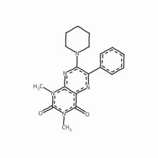 Cn1c(=O)c2nc(-c3ccccc3)c(N3CCCCC3)nc2n(C)c1=O